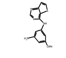 COc1cc(N)cc(Nc2ncnc3ccsc23)c1